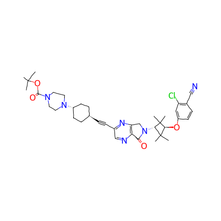 CC(C)(C)OC(=O)N1CCN([C@H]2CC[C@H](C#Cc3cnc4c(n3)CN([C@H]3C(C)(C)[C@H](Oc5ccc(C#N)c(Cl)c5)C3(C)C)C4=O)CC2)CC1